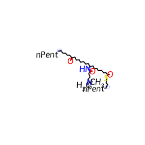 CCCCC/C=C\CCCCC(=O)CCCCCCCC(CCCCCCCC(=O)SCC/C=C\CCCCC)NC(=O)CCCN(C)C